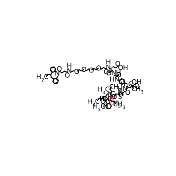 C=CC1Cc2ccccc2CN(C(=O)CCC(=O)NCCOCCOCCOCCOCCC(=O)N[C@@H](CCC(=O)O)C(=O)NCC(=O)Nc2ccc(C[C@@H](CC(C)(C)C(=O)O)NC(=O)c3csc([C@@H](C[C@H](C(C)C)N(CCCCCC)C(=O)[C@@H](NC(=O)[C@H]4CCCCN4C)[C@@H](C)CC)OCC)n3)cc2)c2ccccc21